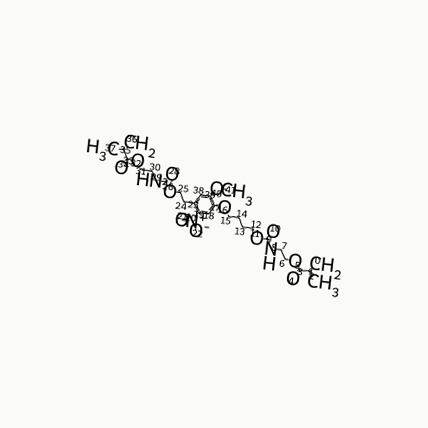 C=C(C)C(=O)OCCNC(=O)OCCCCOc1cc([N+](=O)[O-])c(CCOC(=O)NCCOC(=O)C(=C)C)cc1OC